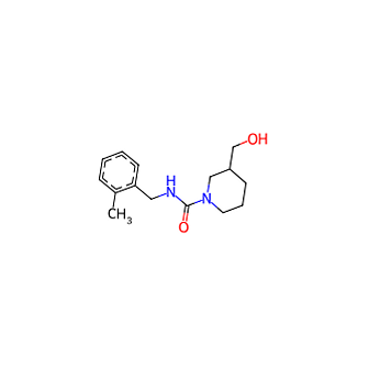 Cc1ccccc1CNC(=O)N1CCCC(CO)C1